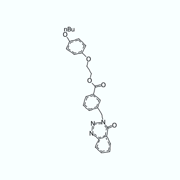 CCCCOc1ccc(OCCOC(=O)c2cccc(Cn3nnc4ccccc4c3=O)c2)cc1